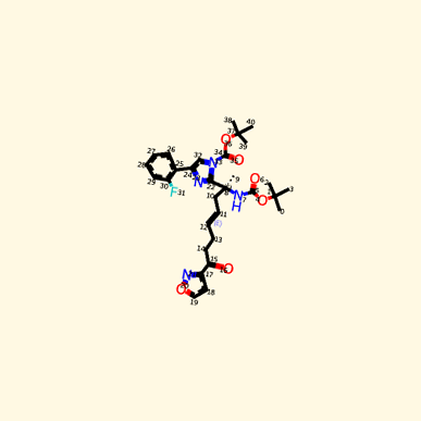 CC(C)(C)OC(=O)N[C@@](C)(C/C=C/CCC(=O)c1ccon1)c1nc(-c2ccccc2F)cn1C(=O)OC(C)(C)C